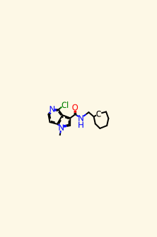 Cn1cc(C(=O)NCC2CCCCCC2)c2c(Cl)nccc21